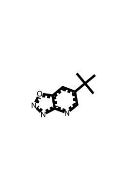 CC(C)(C)c1cnc2nnoc2c1